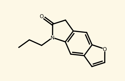 CCCN1C(=O)Cc2cc3occc3cc21